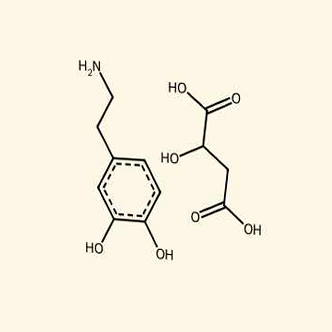 NCCc1ccc(O)c(O)c1.O=C(O)CC(O)C(=O)O